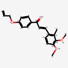 C=CCOc1ccc(C(=O)C=Cc2ccc(OC)c(OC)c2C)cc1